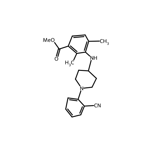 COC(=O)c1ccc(C)c(NC2CCN(c3ccccc3C#N)CC2)c1C